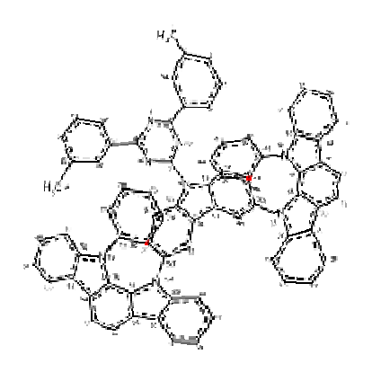 Cc1cccc(-c2nc(-c3cccc(C)c3)nc(-n3c4ccc(-n5c6ccccc6c6ccc7c8ccccc8n(-c8ccccc8)c7c65)cc4c4cc(-n5c6ccccc6c6ccc7c8ccccc8n(-c8ccccc8)c7c65)ccc43)n2)c1